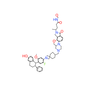 COc1cc(N2CC3(CCC(CN4CCN5c6ccc7c(c6OCC5C4)CN(C(C)CCC(=O)NC=O)C7=O)CC3)C2)c(F)cc1C1c2ccc(O)cc2CCC1c1ccccc1